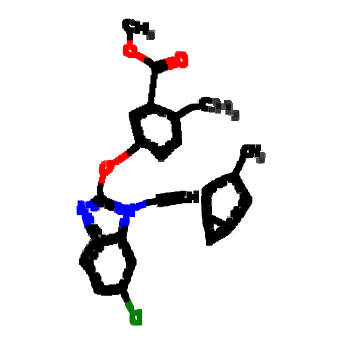 C#Cn1c(Oc2ccc(C)c(C(=O)OC)c2)nc2ccc(Cl)cc21.Cc1cc2cc-2c1